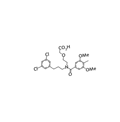 COc1cc(C(=O)N(CCCc2cc(Cl)cc(Cl)c2)CCOCC(=O)O)cc(OC)c1C